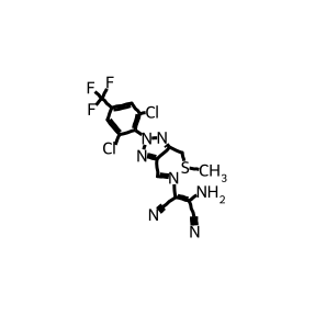 CSCc1nn(-c2c(Cl)cc(C(F)(F)F)cc2Cl)nc1/C=N/C(C#N)=C(\N)C#N